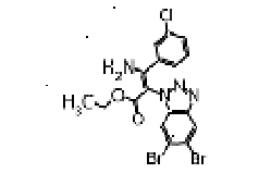 CCOC(=O)/C(=C(\N)c1cccc(Cl)c1)n1nnc2cc(Br)c(Br)cc21